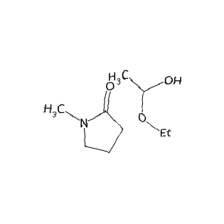 CCOC(C)O.CN1CCCC1=O